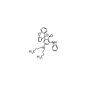 CCCCN(CCCC)c1cc(Nc2ccccc2)c2c(c1)C1(OC2=O)c2ccccc2Oc2ccccc21